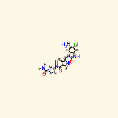 Cc1[nH]c(/C=C2\C(=O)Nc3cc(Cl)c(N)cc32)c(C)c1C(=O)NC1CCN(C(=O)N(C)C)C1